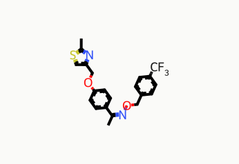 CC(=NOCc1ccc(C(F)(F)F)cc1)c1ccc(OCc2csc(C)n2)cc1